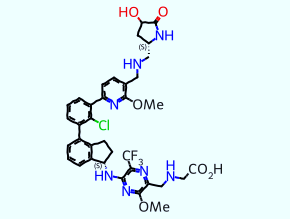 COc1nc(-c2cccc(-c3cccc4c3CC[C@@H]4Nc3nc(OC)c(CNCC(=O)O)nc3C(F)(F)F)c2Cl)ccc1CNC[C@@H]1CC(O)C(=O)N1